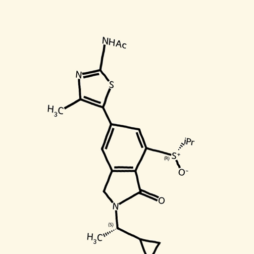 CC(=O)Nc1nc(C)c(-c2cc3c(c([S@@+]([O-])C(C)C)c2)C(=O)N([C@@H](C)C2CC2)C3)s1